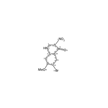 COc1cc2[nH]cc([N+](=O)[O-])c(=O)c2cc1Br